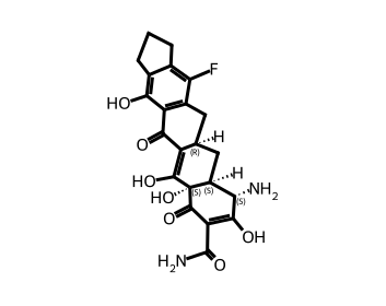 NC(=O)C1=C(O)[C@@H](N)[C@@H]2C[C@@H]3Cc4c(F)c5c(c(O)c4C(=O)C3=C(O)[C@]2(O)C1=O)CCC5